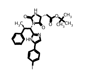 C[C@H](c1ccccc1)[C@@H](c1ncc(-c2ccc(I)cc2)[nH]1)N1C(=O)N[C@H](CC(=O)OC(C)(C)C)C1=O